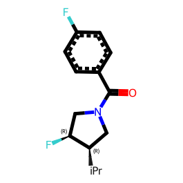 CC(C)[C@@H]1CN(C(=O)c2ccc(F)cc2)C[C@@H]1F